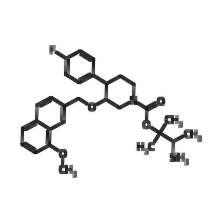 COc1cccc2ccc(COC3CN(C(=O)OC(C)(C)C(C)[SiH3])CCC3c3ccc(F)cc3)cc12